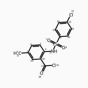 Cc1ccc(NS(=O)(=O)c2ccc(Cl)cc2)c(C(=O)Cl)c1